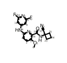 COc1ccc(Nc2cc(F)nc(F)c2)nc1C(=O)NC1(C#N)CCC1